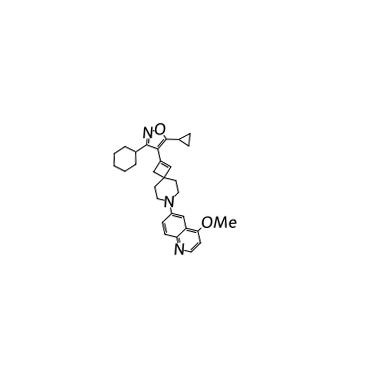 COc1ccnc2ccc(N3CCC4(C=C(c5c(C6CCCCC6)noc5C5CC5)C4)CC3)cc12